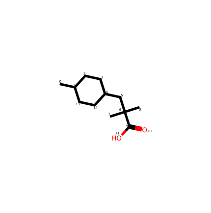 CC1CCC(CC(C)(C)C(=O)O)CC1